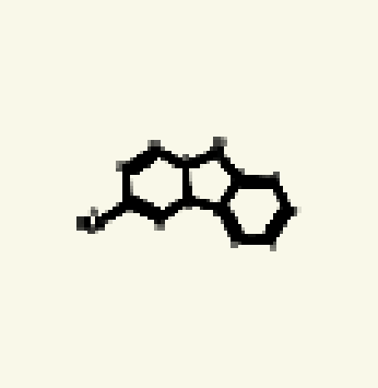 NC1=CC2c3ccccc3OC2C=C1